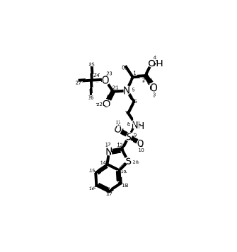 CC(C(=O)O)N(CCNS(=O)(=O)c1nc2ccccc2s1)C(=O)OC(C)(C)C